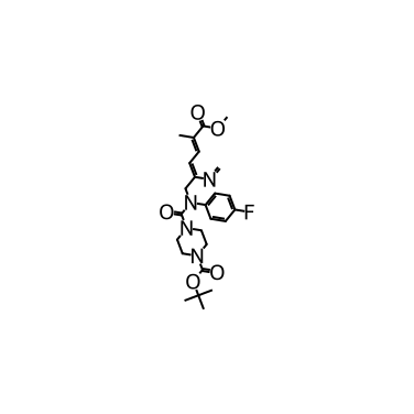 C=N/C(=C\C=C(/C)C(=O)OC)CN(C(=O)N1CCN(C(=O)OC(C)(C)C)CC1)c1ccc(F)cc1